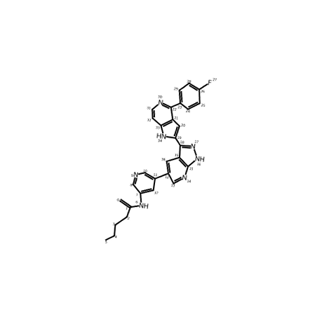 C=C(CCCC)Nc1cncc(-c2cnc3[nH]nc(-c4cc5c(-c6ccc(F)cc6)nccc5[nH]4)c3c2)c1